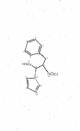 CCCCCCCCC(Cc1ccccc1)C(CCCCCC)n1ccnc1